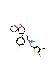 Cc1cc(CNCC[C@@]2(c3ccc(F)cc3)CCOC3(CCCC3)C2)sc1C